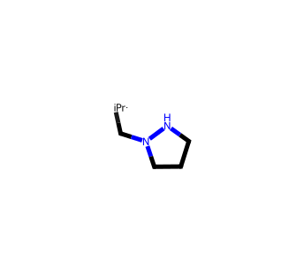 C[C](C)CN1CCCN1